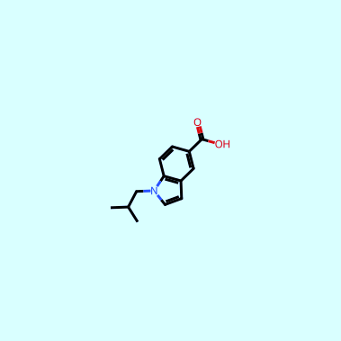 CC(C)Cn1ccc2cc(C(=O)O)ccc21